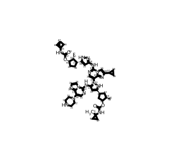 CC1(NC(=O)O[C@H]2C[C@@H](c3cc(Nc4ncc(N5CCNCC5)c5nccn45)[n+](-c4cnc(Nc5cc([C@@H]6CC[C@H](OC(=O)NC78CC(C7)C8)[C@@H]6F)[nH]n5)n5cc(C6CC6)nc45)[nH]3)C[C@H]2F)CC1